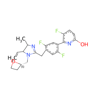 C=CC1C(C)N=C(Cc2cc(F)c(-c3nc(O)ccc3F)cc2F)N1C[C@@H]1CCO1